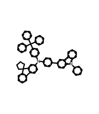 c1ccc(-n2c3ccccc3c3cc(-c4ccc(N(c5ccc(C(c6ccccc6)(c6ccccc6)c6ccccc6)cc5)c5ccc6c(c5)C5(CCCC5)c5ccccc5-6)cc4)ccc32)cc1